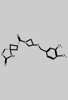 O=C1N[C@]2(CO1)C[C@@H](C(=O)N1CC(OCc3ccc(C(F)(F)F)c(C(F)(F)F)c3)C1)C2